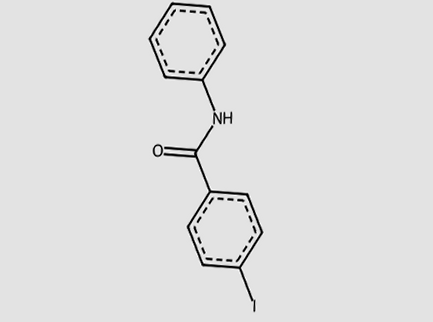 O=C(Nc1ccccc1)c1ccc(I)cc1